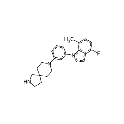 Cc1ccc(F)c2ccn(-c3cccc(N4CCC5(CCNC5)CC4)c3)c12